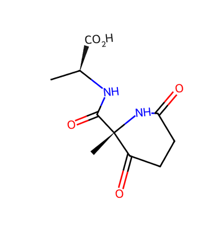 C[C@H](NC(=O)[C@]1(C)NC(=O)CCC1=O)C(=O)O